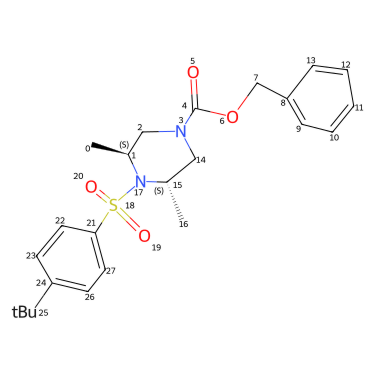 C[C@H]1CN(C(=O)OCc2ccccc2)C[C@H](C)N1S(=O)(=O)c1ccc(C(C)(C)C)cc1